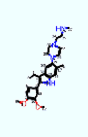 CCc1c(-c2ccc(OC)c(OC)c2)[nH]c2cc(C)c(N3CCN(CCNC)CC3)cc12